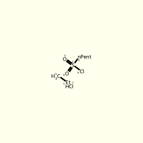 CCC.CCCCCS(=O)(=O)Cl.Cl